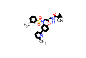 N#CC1(C(=O)NC[C@H]2CN(S(=O)(=O)c3cccc(C(F)(F)F)c3)c3cc(-c4cccc(C(F)(F)F)n4)ccc3O2)CC1